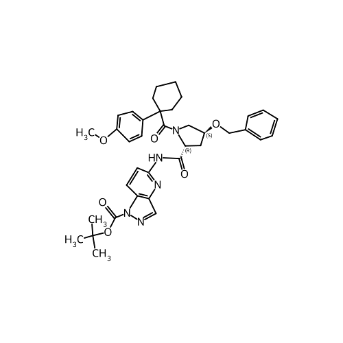 COc1ccc(C2(C(=O)N3C[C@@H](OCc4ccccc4)C[C@@H]3C(=O)Nc3ccc4c(cnn4C(=O)OC(C)(C)C)n3)CCCCC2)cc1